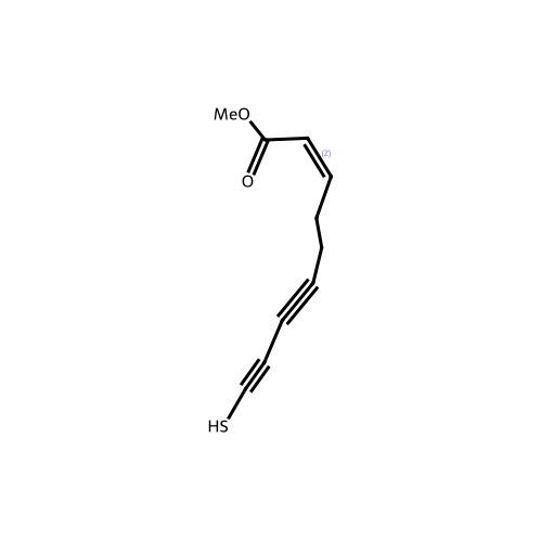 COC(=O)/C=C\CCC#CC#CS